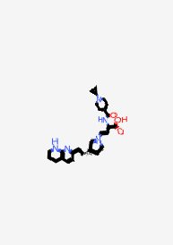 O=C(NC(CCN1CC[C@H](CCc2ccc3c(n2)NCCC3)C1)C(=O)O)C1CCN(C2CC2)CC1